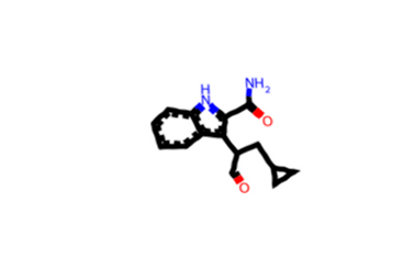 NC(=O)c1[nH]c2ccccc2c1C(C=O)CC1CC1